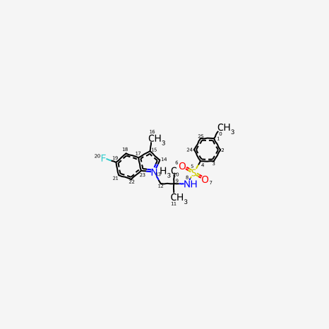 Cc1ccc(S(=O)(=O)NC(C)(C)Cn2cc(C)c3cc(F)ccc32)cc1